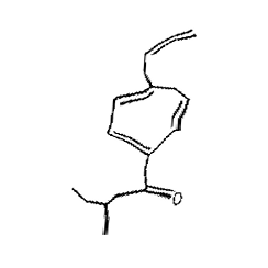 C=Cc1ccc(C(=O)C(C)C)cc1